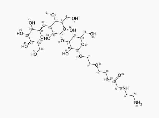 CO[C@@H]1C(CO)O[C@H](OC2C(O)[C@@H](OCCOCCNC(=O)CNCCN)OC(CO)[C@H]2O)C(O)C1O[C@H]1OC(CO)[C@@H](O)C(O)C1O